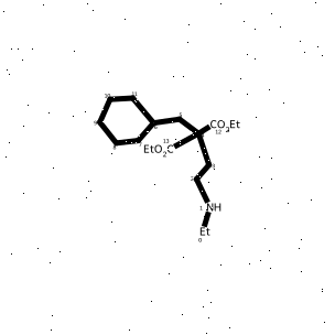 CCNCCC(CC1CCCCC1)(C(=O)OCC)C(=O)OCC